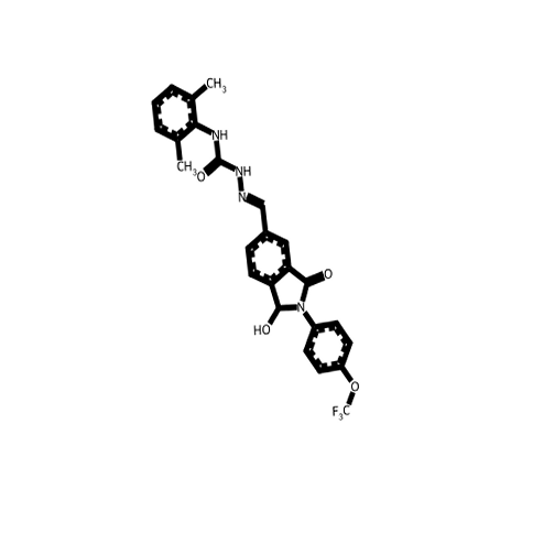 Cc1cccc(C)c1NC(=O)N/N=C/c1ccc2c(c1)C(=O)N(c1ccc(OC(F)(F)F)cc1)C2O